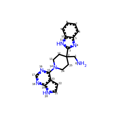 NCC1(c2nc3ccccc3[nH]2)CCN(c2ncnc3[nH]ccc23)CC1